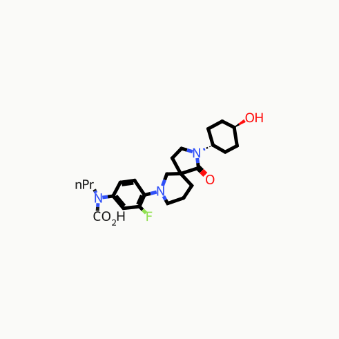 CCCN(C(=O)O)c1ccc(N2CCCC3(CCN([C@H]4CC[C@H](O)CC4)C3=O)C2)c(F)c1